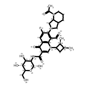 CC(=O)N1CCCC2CN(c3c(F)cc4c(=O)c(C(=O)NC5C(O)[C@@H](O)C(CO)O[C@H]5O)cn(C5C[C@H](C)[C@@H]5C)c4c3C=O)CC21